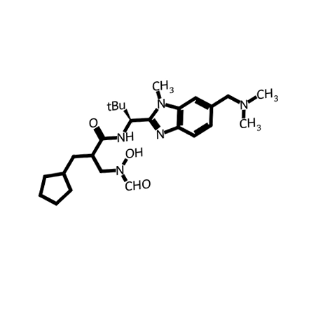 CN(C)Cc1ccc2nc([C@@H](NC(=O)C(CC3CCCC3)CN(O)C=O)C(C)(C)C)n(C)c2c1